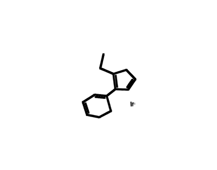 CCC1=C(C2=CC=CCC2)C=CC1.[Ir]